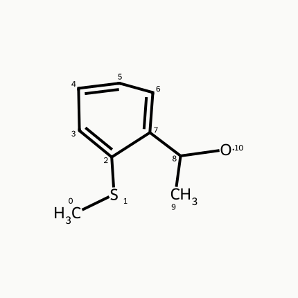 CSc1ccccc1C(C)[O]